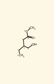 CCC(CO)CC(=O)OC